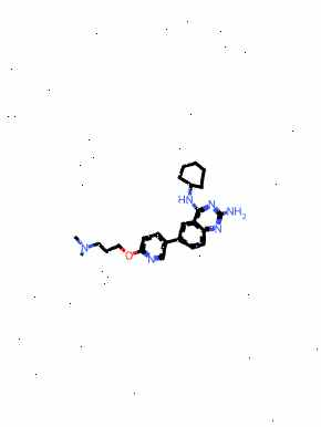 CN(C)CCCOc1ccc(-c2ccc3nc(N)nc(NC4CCCCC4)c3c2)cn1